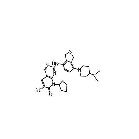 CN(C)C1CCN(c2ccc(Nc3ncc4cc(C#N)c(=O)n(C5CCCC5)c4n3)c3c2CSC3)CC1